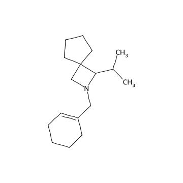 CC(C)C1N(CC2=CCCCC2)CC12CCCC2